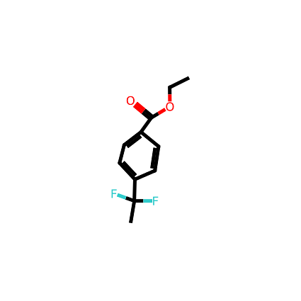 CCOC(=O)c1ccc(C(C)(F)F)cc1